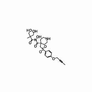 CC#CCOc1ccc(S(=O)(=O)CC2(C(=O)N(O)C(=O)C(C)(CO)CO)CCNCC2)cc1